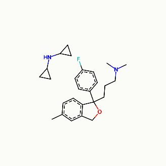 C1CC1NC1CC1.Cc1ccc2c(c1)COC2(CCCN(C)C)c1ccc(F)cc1